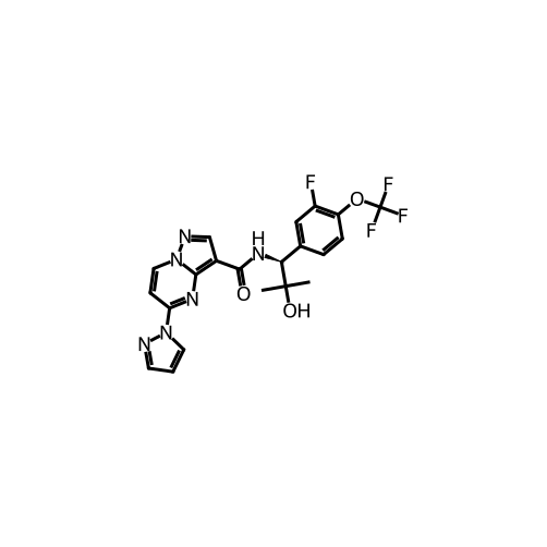 CC(C)(O)[C@@H](NC(=O)c1cnn2ccc(-n3cccn3)nc12)c1ccc(OC(F)(F)F)c(F)c1